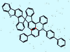 c1ccc(-c2ccc(N(c3ccc(-c4ccccc4)cc3)c3ccccc3-c3cccc4c3-c3ccccc3C43c4ccccc4-c4c3ccc3c4sc4ccccc43)cc2)cc1